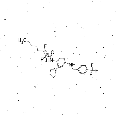 CCCCC[C@H](F)[C@H](F)C(=O)Nc1ccc(NCc2ccc(C(F)(F)F)cc2)cc1N1CCCC1